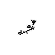 Cc1cc(C)cc(CSc2nnc(CCCCC(=O)NCCCN3CCCC3=O)n2-c2ccccc2)c1